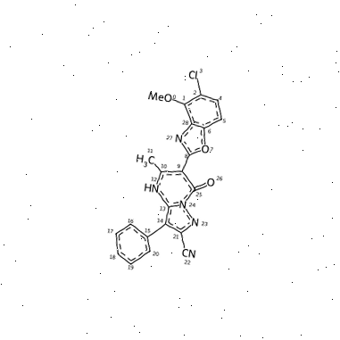 COc1c(Cl)ccc2oc(-c3c(C)[nH]c4c(-c5ccccc5)c(C#N)nn4c3=O)nc12